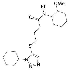 CCN(C(=O)CCCSc1cnnn1C1CCCCC1)C1CCCCC1OC